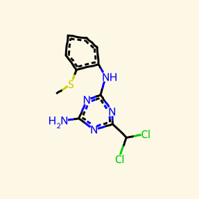 CSc1ccccc1Nc1nc(N)nc(C(Cl)Cl)n1